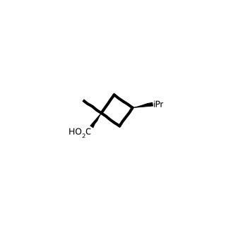 CC(C)[C@H]1C[C@@](C)(C(=O)O)C1